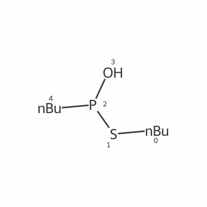 CCCCSP(O)CCCC